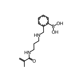 C=C(C)C(=O)NCCCNCc1ccccc1B(O)O